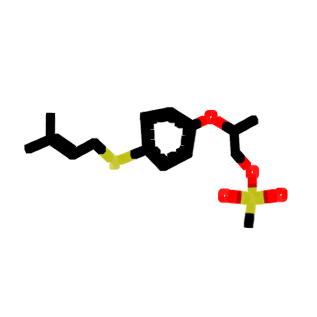 CC(C)=CCSc1ccc(OC(C)COS(C)(=O)=O)cc1